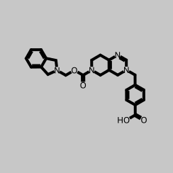 O=C(O)c1ccc(CN2C=NC3=C(C2)CN(C(=O)OCN2Cc4ccccc4C2)CC3)cc1